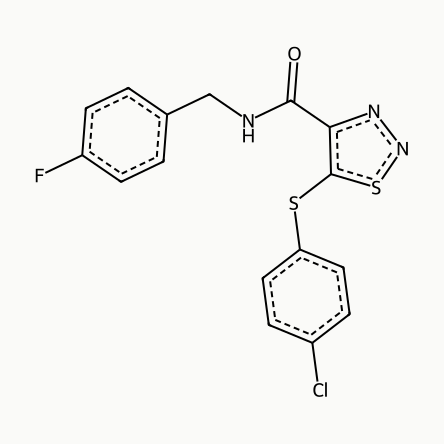 O=C(NCc1ccc(F)cc1)c1nnsc1Sc1ccc(Cl)cc1